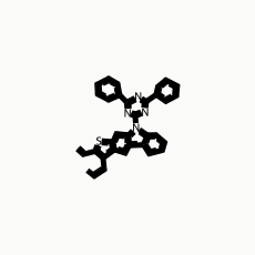 C=Cc1sc2cc3c(cc2c1/C=C\C)c1ccccc1n3-c1nc(-c2ccccc2)nc(-c2ccccc2)n1